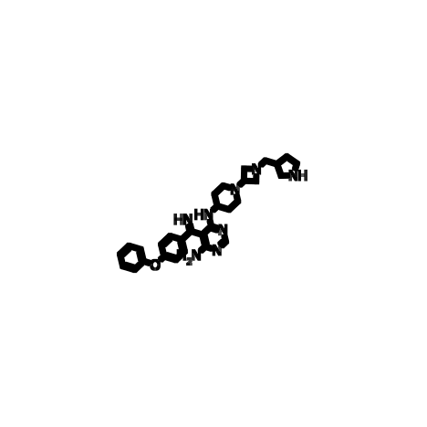 N=C(c1ccc(Oc2ccccc2)cc1)c1c(N)ncnc1NC1CCN(C2CN(CC3CCNC3)C2)CC1